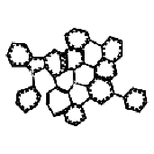 C1=CCC(N(c2ccc(-c3ccccc3)cc2-c2ccccc2)c2ccccc2-c2cccc3cccc(-c4ccccc4)c23)=C(c2cccc3c4ccccc4n(-c4ccccc4)c23)C=C1